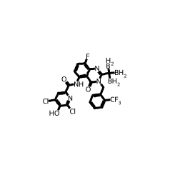 BC(B)(B)c1nc2c(F)ccc(NC(=O)c3cc(Cl)c(O)c(Cl)n3)c2c(=O)n1Cc1ccccc1C(F)(F)F